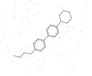 CCCCc1ccc(-c2ccc(C3CC[CH]CC3)cc2)cc1